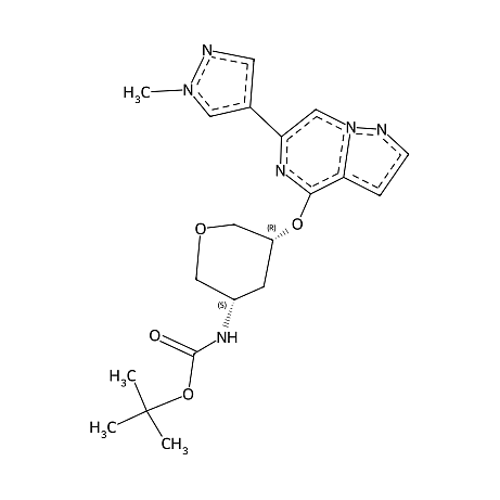 Cn1cc(-c2cn3nccc3c(O[C@H]3COC[C@@H](NC(=O)OC(C)(C)C)C3)n2)cn1